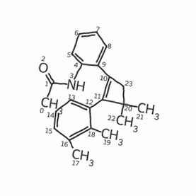 CC(=O)Nc1ccccc1C1=C(c2cccc(C)c2C)C(C)(C)C1